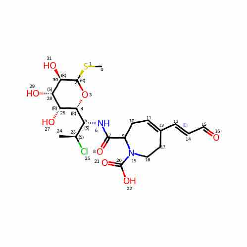 CS[C@H]1O[C@H]([C@H](NC(=O)C2CC=C(/C=C/C=O)CCN2C(=O)O)[C@H](C)Cl)[C@H](O)[C@H](O)[C@H]1O